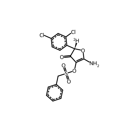 [2H][C@@]1(c2ccc(Cl)cc2Cl)OC(N)=C(OS(=O)(=O)Cc2ccccc2)C1=O